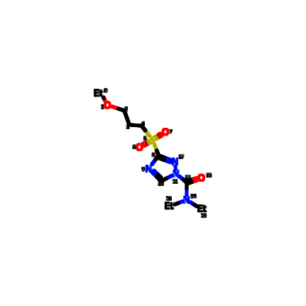 CCOCCCS(=O)(=O)c1ncn(C(=O)N(CC)CC)n1